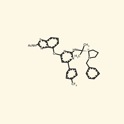 CC(=O)Nc1nc2c(Oc3cc(-c4ccc(C(F)(F)F)cc4)nc(NC(C)(C)[C@@H]4CCCN4Cc4ccccc4)n3)cccc2s1